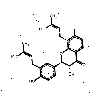 CC(C)=CCc1cc([C@H]2Oc3c(ccc(O)c3CC=C(C)C)C(=O)[C@@H]2O)ccc1O